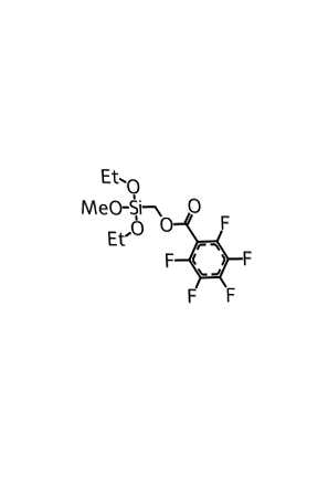 CCO[Si](COC(=O)c1c(F)c(F)c(F)c(F)c1F)(OC)OCC